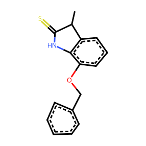 CC1C(=S)Nc2c(OCc3ccccc3)cccc21